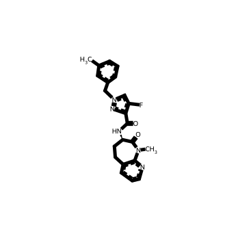 Cc1cccc(Cn2cc(F)c(C(=O)N[C@H]3CCc4cccnc4N(C)C3=O)n2)c1